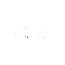 [c]1cccc(NC2CCCC2)c1